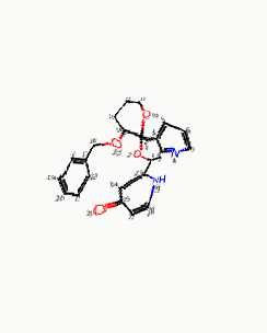 CC(OC1(c2cccnc2)OCCCC1OCc1ccccc1)c1cc(=O)cc[nH]1